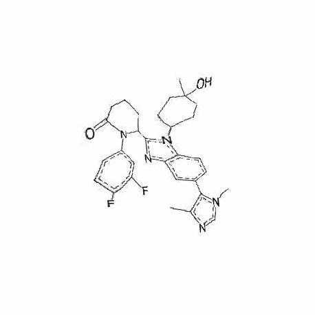 Cc1ncn(C)c1-c1ccc2c(c1)nc(C1CCCC(=O)N1c1ccc(F)c(F)c1)n2C1CCC(C)(O)CC1